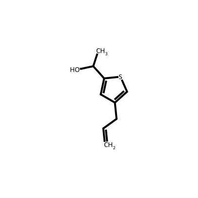 C=CCc1csc(C(C)O)c1